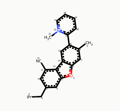 Cc1cc2oc3cc(CC(C)C)cc(C#N)c3c2cc1-c1cccc[n+]1C